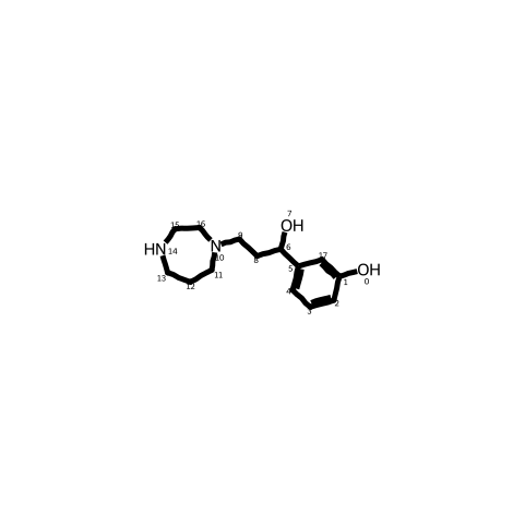 Oc1cccc(C(O)CCN2CCCNCC2)c1